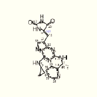 C[C@@H](Nc1nc(NC2CC2)n2ncc(/C=C3\NC(=O)NC3=O)c2n1)c1ccccn1